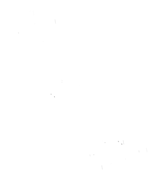 CC(C)(C)NC(=O)OC1CCCC(NC(=O)c2ccc(C(C)(C)C)cc2)C1